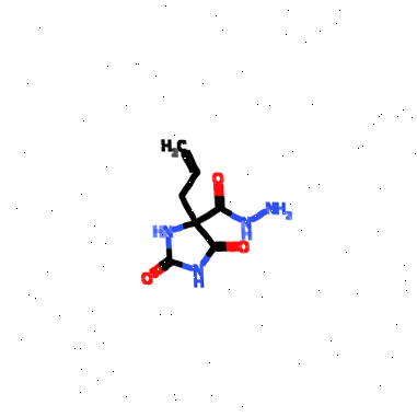 C=CCC1(C(=O)NN)NC(=O)NC1=O